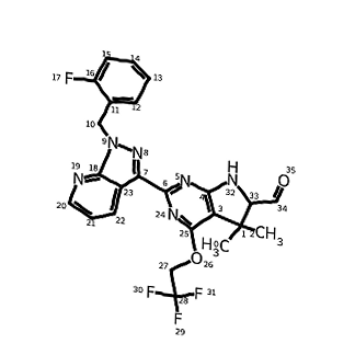 CC1(C)c2c(nc(-c3nn(Cc4ccccc4F)c4ncccc34)nc2OCC(F)(F)F)NC1C=O